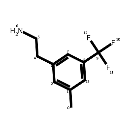 Cc1cc(CCN)cc(C(F)(F)F)c1